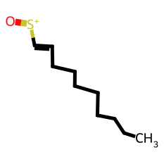 CCCCCCCCC=C[S+]=O